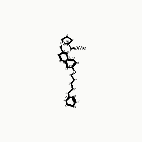 COC[C@@H]1CCCN1Cc1ccc2cc(OCCCCCc3ccccc3)ccc2c1